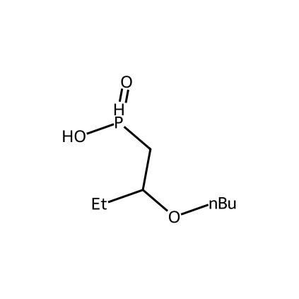 CCCCOC(CC)C[PH](=O)O